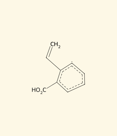 C=Cc1[c]cccc1C(=O)O